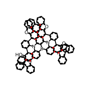 Oc1c(-c2ccccc2)cccc1-c1cccc(-c2cccc3c2oc2ccccc23)c1N1c2cc(-n3c4ccccc4c4ccccc43)ccc2B2c3ccc(-n4c5ccccc5c5ccccc54)cc3N(c3c(-c4cccc5c4oc4ccccc45)cccc3-c3cccc4c3oc3ccccc34)c3cc(-c4ccc5ccccc5c4)cc1c32